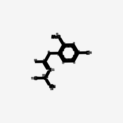 COc1cc(Cl)ccc1CC(C)=N[S+]([O-])C(C)(C)C